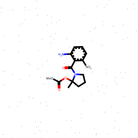 COC(=O)OC1(C)CCCN1C(=O)c1c(N)cccc1[N+](=O)[O-]